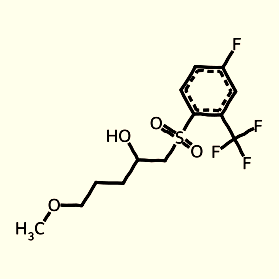 COCCCC(O)CS(=O)(=O)c1ccc(F)cc1C(F)(F)F